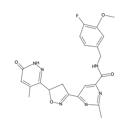 COc1cc(CNC(=O)c2cc(C3=NOC(c4n[nH]c(=O)cc4C)C3)nc(C)n2)ccc1F